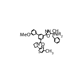 COc1cccc(-c2cc(C(=O)N3CCC[C@@H]3c3nc(C)cs3)cc(-c3nnc([C@](C)(N)Cc4ccccc4)o3)c2)c1